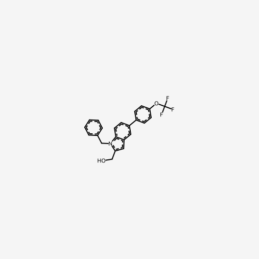 OCc1cc2cc(-c3ccc(OC(F)(F)F)cc3)ccc2n1Cc1ccccc1